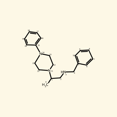 CC(CNCc1[c]cccc1)N1CCN(c2ccccc2)CC1